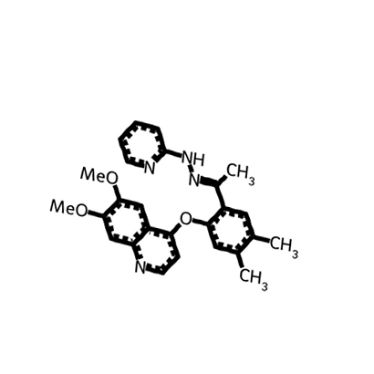 COc1cc2nccc(Oc3cc(C)c(C)cc3C(C)=NNc3ccccn3)c2cc1OC